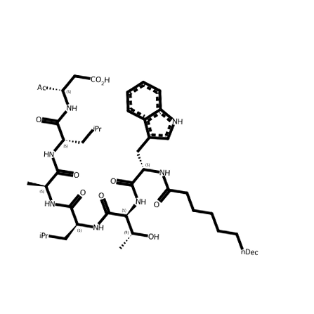 CCCCCCCCCCCCCCCC(=O)N[C@@H](Cc1c[nH]c2ccccc12)C(=O)N[C@H](C(=O)N[C@@H](CC(C)C)C(=O)N[C@@H](C)C(=O)N[C@@H](CC(C)C)C(=O)N[C@@H](CC(=O)O)C(C)=O)[C@@H](C)O